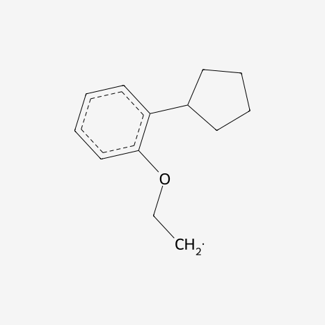 [CH2]COc1ccccc1C1CCCC1